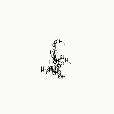 COCOc1ccc(C(=O)Nc2ccc3nc(C(O)N4C[C@@H](CCl)c5c4cc(OC(=O)N(CCOCCO)CCN(C)C(=O)OC(C)(C)C)c4cccc(C)c54)cn3c2)cc1